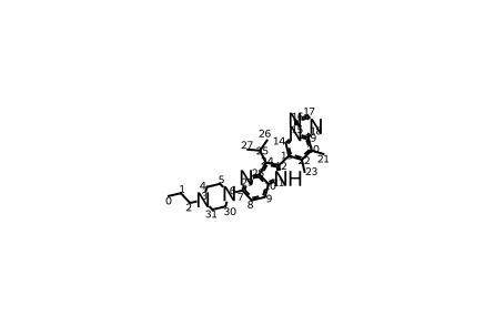 CCCN1CCN(c2ccc3[nH]c(-c4cn5ncnc5c(C)c4C)c(C(C)C)c3n2)CC1